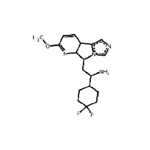 COC1=NC2C(C=C1)c1cncn1C2CC(N)C1CCC(F)(F)CC1